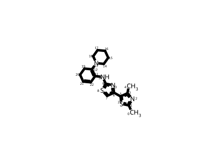 Cc1nc(C)c(-c2csc(NC3=C(N4CCCCC4)CCC=C3)n2)s1